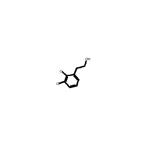 OC[CH]c1cccc(Cl)c1Cl